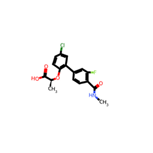 CNC(=O)c1ccc(-c2cc(Cl)ccc2O[C@@H](C)C(=O)O)cc1F